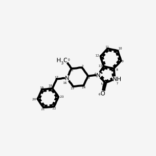 CC1CC(n2c(=O)[nH]c3ccccc32)CCN1Cc1ccccc1